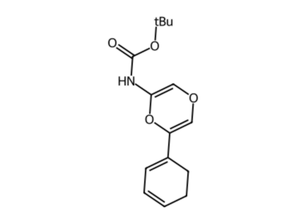 CC(C)(C)OC(=O)NC1=COC=C(C2=CC=CCC2)O1